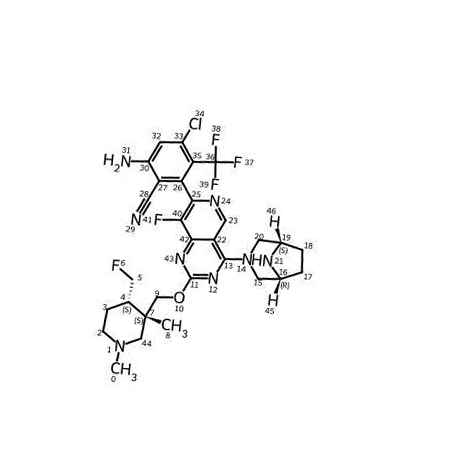 CN1CC[C@H](CF)[C@](C)(COc2nc(N3C[C@H]4CC[C@@H](C3)N4)c3cnc(-c4c(C#N)c(N)cc(Cl)c4C(F)(F)F)c(F)c3n2)C1